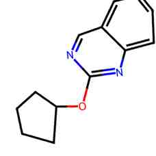 c1ccc2nc(OC3CCCC3)ncc2c1